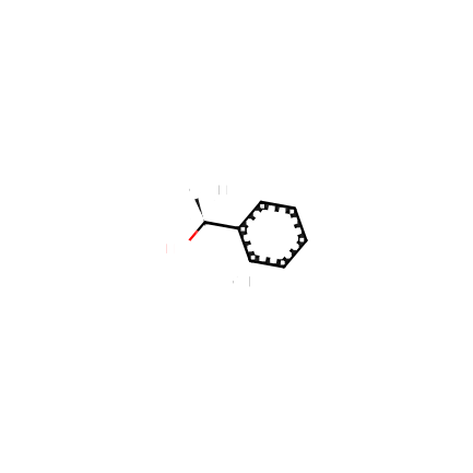 O=C(O)[C@H](O)c1ccccc1.[Cd]